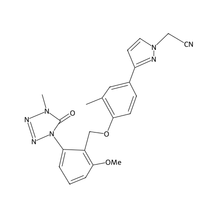 COc1cccc(-n2nnn(C)c2=O)c1COc1ccc(-c2ccn(CC#N)n2)cc1C